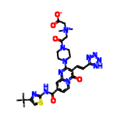 CC(C)(C)c1csc(NC(=O)c2ccn3c(=O)c(C=Cc4nnn[nH]4)c(N4CCN(C(=O)C[N+](C)(C)CC(=O)[O-])CC4)nc3c2)n1